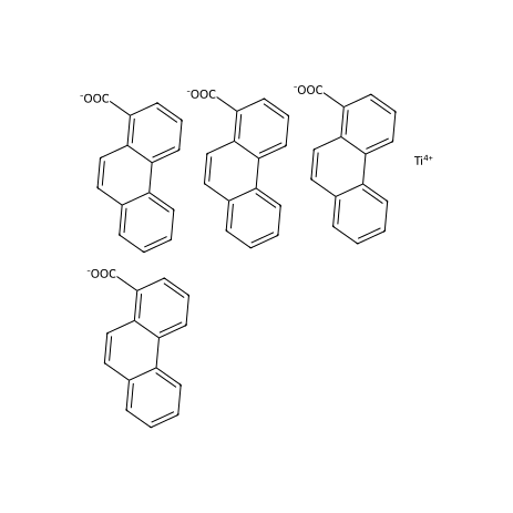 O=C([O-])c1cccc2c1ccc1ccccc12.O=C([O-])c1cccc2c1ccc1ccccc12.O=C([O-])c1cccc2c1ccc1ccccc12.O=C([O-])c1cccc2c1ccc1ccccc12.[Ti+4]